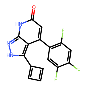 O=c1cc(-c2cc(F)c(F)cc2F)c2c(C3=CC=C3)[nH]nc2[nH]1